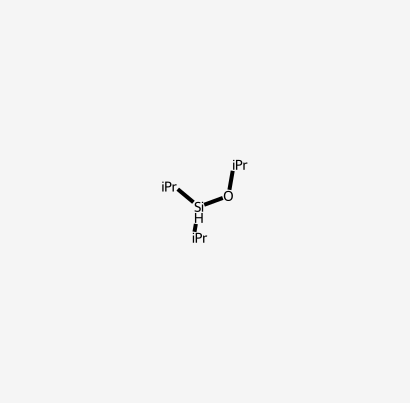 CC(C)O[SiH](C(C)C)C(C)C